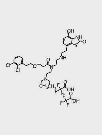 CCN(CC)CCN(CCNCCc1ccc(O)c2[nH]c(=O)sc12)C(=O)CCOCCc1cccc(Cl)c1Cl.O=C(O)C(F)(F)F.O=C(O)C(F)(F)F